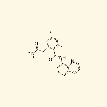 Cc1cc(C)c(C(=O)Nc2cccc3cccnc23)c(CC(=O)N(C)C)c1